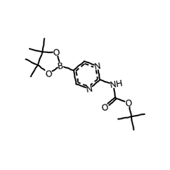 CC(C)(C)OC(=O)Nc1ncc(B2OC(C)(C)C(C)(C)O2)cn1